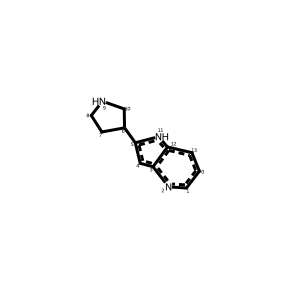 c1cnc2cc(C3CCNC3)[nH]c2c1